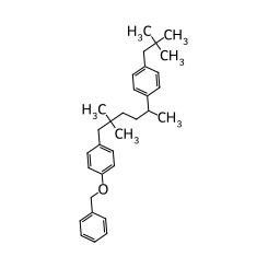 CC(CCC(C)(C)Cc1ccc(OCc2ccccc2)cc1)c1ccc(CC(C)(C)C)cc1